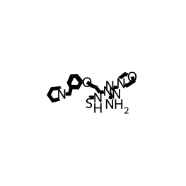 Nc1nc(N2CCOCC2)nn1C(CCOc1cccc(CN2CCCCC2)c1)NC=S